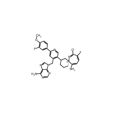 COc1ccc(-c2cc(Cn3cnc4c(N)ncnc43)c(N3CCC[C@]4(C3)N=C(Cl)C(F)=CC=C4N)cn2)cc1F